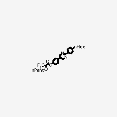 CCCCCCc1ccc(-c2ncc(-c3ccc(OC(=O)C(OCCCCC)C(F)(F)F)cc3)cn2)cc1